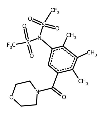 Cc1c(C(=O)N2CCOCC2)cc(N(S(=O)(=O)C(F)(F)F)S(=O)(=O)C(F)(F)F)c(C)c1C